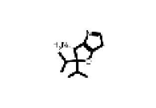 CC(C)C1(C(C)C)OC2=C(N=CC2)[C@H]1N